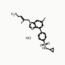 Cl.NC/C=C(\F)Cn1cnc2c(-c3ccc(S(=O)(=O)NC4CC4)cc3)cc(F)cc21